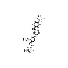 Nc1cc(-c2ccnc(Nc3ccc(N4CCOCC4)cc3)n2)ccc1OCC1CCNC1